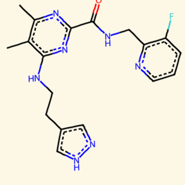 Cc1nc(C(=O)NCc2ncccc2F)nc(NCCc2cn[nH]c2)c1C